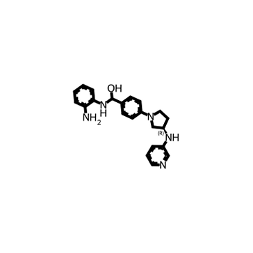 Nc1ccccc1NC(O)c1ccc(N2CC[C@@H](Nc3cccnc3)C2)cc1